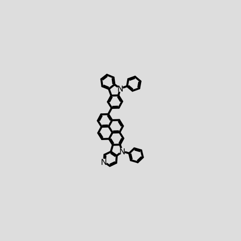 c1ccc(-n2c3ccccc3c3cc(-c4ccc5ccc6c7c(ccc4c57)cc4c6c5cnccc5n4-c4ccccc4)ccc32)cc1